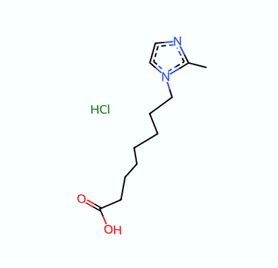 Cc1nccn1CCCCCCCC(=O)O.Cl